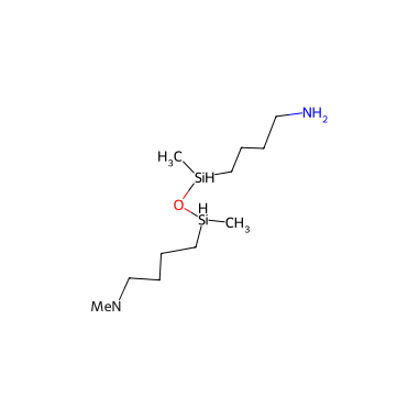 CNCCCC[SiH](C)O[SiH](C)CCCCN